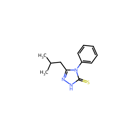 CC(C)Cc1n[nH]c(=S)n1-c1ccccc1